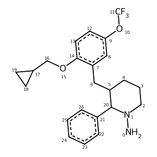 NN1CCCC(Cc2cc(OC(F)(F)F)ccc2OCC2CC2)C1c1ccccc1